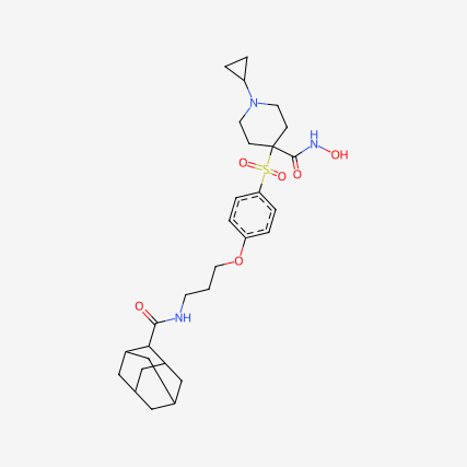 O=C(NCCCOc1ccc(S(=O)(=O)C2(C(=O)NO)CCN(C3CC3)CC2)cc1)C1C2CC3CC(C2)CC1C3